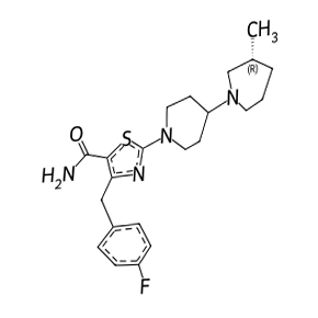 C[C@@H]1CCCN(C2CCN(c3nc(Cc4ccc(F)cc4)c(C(N)=O)s3)CC2)C1